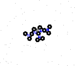 c1ccc(-n2c3ccccc3c3cc4c(cc32)c2cccc3c2n4-c2cc(-n4c5ccccc5c5ccccc54)cc4c2B3c2cccc3c5cc6c(cc5n-4c23)c2ccccc2n6-c2ccccc2)cc1